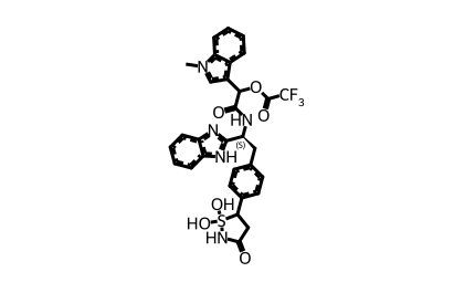 Cn1cc(C(OC(=O)C(F)(F)F)C(=O)N[C@@H](Cc2ccc(C3CC(=O)NS3(O)O)cc2)c2nc3ccccc3[nH]2)c2ccccc21